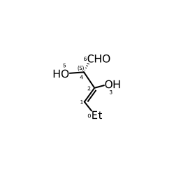 CCC=C(O)[C@H](O)C=O